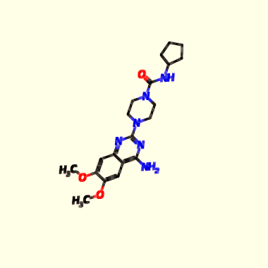 COc1cc2nc(N3CCN(C(=O)NC4CCCC4)CC3)nc(N)c2cc1OC